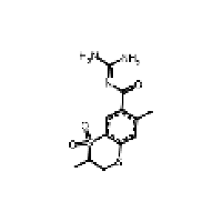 Cc1cc2c(cc1C(=O)N=C(N)N)S(=O)(=O)C(C)CS2